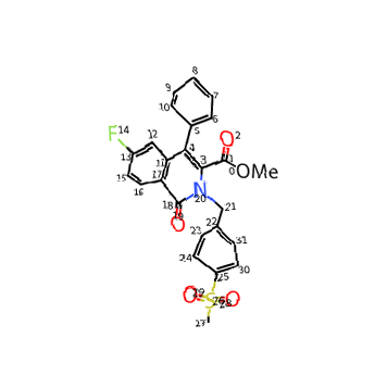 COC(=O)c1c(-c2ccccc2)c2cc(F)ccc2c(=O)n1Cc1ccc(S(C)(=O)=O)cc1